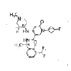 C[C@@H](NC(=O)c1cn(C23CC(F)(C2)C3)c(=O)cc1N[C@@H]1CCN(C)C[C@@H]1F)c1cccc(C(F)F)c1F